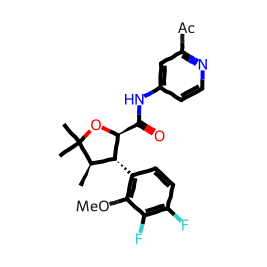 COc1c([C@@H]2[C@@H](C)C(C)(C)O[C@H]2C(=O)Nc2ccnc(C(C)=O)c2)ccc(F)c1F